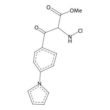 COC(=O)C(NCl)C(=O)c1ccc(-n2cccc2)cc1